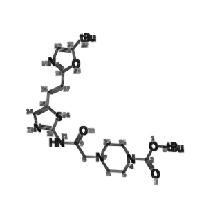 CC(C)(C)OC(=O)N1CCN(CC(=O)Nc2ncc(C=Cc3ncc(C(C)(C)C)o3)s2)CC1